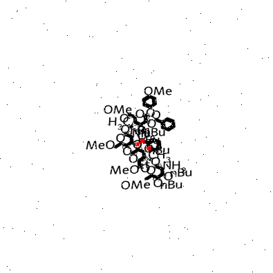 CCCCOC1[C@H](C(C)(CCC)O[C@H]2OC(COC)[C@@H](O[C@@H]3OC(C(=O)OC)[C@@H](C(C)(CC)O[C@H]4OC(COC)[C@@H](OCCCC)[C@H](OCCCC)C4N)C(OCCCC)[C@@H]3OC(=O)c3ccccc3)[C@H](OCCCC)C2N)C(C(=O)OC)O[C@@H](Oc2ccc(OC)cc2)[C@H]1OC(=O)c1ccccc1